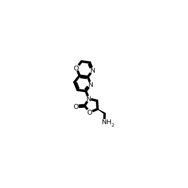 NC[C@@H]1CN(c2ccc3c(n2)N=CCO3)C(=O)O1